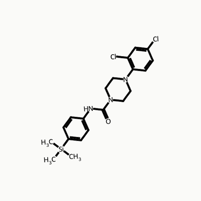 C[Si](C)(C)c1ccc(NC(=O)N2CCN(c3ccc(Cl)cc3Cl)CC2)cc1